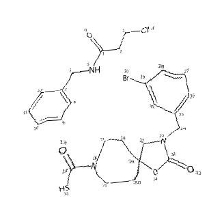 O=C(CCCl)NCc1ccccc1.O=C(S)N1CCC2(CC1)CN(Cc1cccc(Br)c1)C(=O)O2